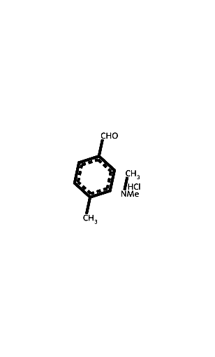 CNC.Cc1ccc(C=O)cc1.Cl